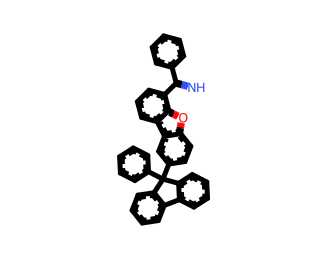 N=C(c1ccccc1)c1cccc2c1oc1ccc(C3(c4ccccc4)c4ccccc4-c4ccccc43)cc12